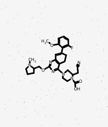 COc1cccc(F)c1C1=Cc2nc(OCC3CCCN3C)nc(N3CCN(C(=O)O)C(CC#N)C3)c2CC1